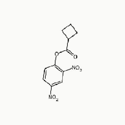 O=C(Oc1ccc([N+](=O)[O-])cc1[N+](=O)[O-])C1CCC1